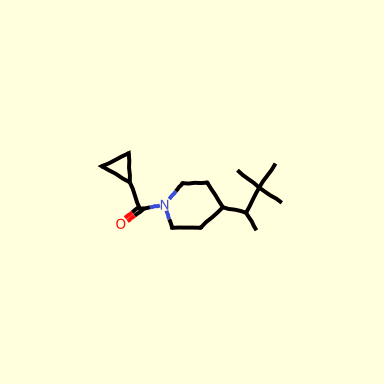 CC(C1CCN(C(=O)C2CC2)CC1)C(C)(C)C